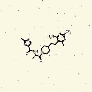 Cc1nc(C(=O)NC(C)C(=O)N2CCC(CCc3c(C)nc(C(F)(F)F)nc3N)CC2)cs1